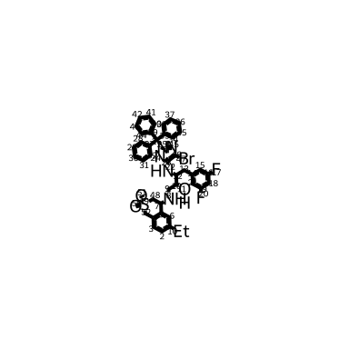 CCc1ccc2c(c1)C(NCC(O)C(Cc1cc(F)cc(F)c1)Nc1nn(C(c3ccccc3)(c3ccccc3)c3ccccc3)nc1Br)CS(=O)(=O)C2